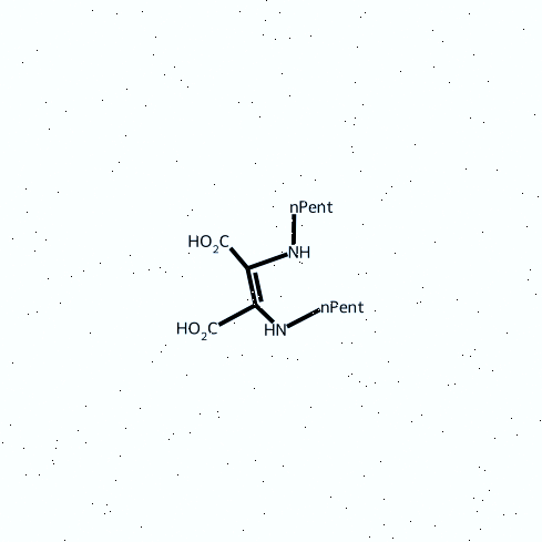 CCCCCNC(C(=O)O)=C(NCCCCC)C(=O)O